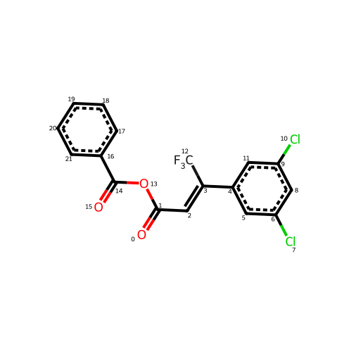 O=C(C=C(c1cc(Cl)cc(Cl)c1)C(F)(F)F)OC(=O)c1ccccc1